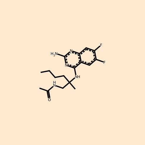 CCCCC(C)(CNC(C)=O)Nc1nc(N)nc2cc(F)c(F)cc12